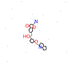 N#Cc1cc(=O)c2ccc(CC(O)c3cccc(OCc4ccc5ccccc5n4)c3)cc2o1